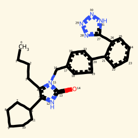 CCCCc1c(C2CCCCC2)[nH]c(=O)n1Cc1ccc(-c2ccccc2-c2nnn[nH]2)cc1